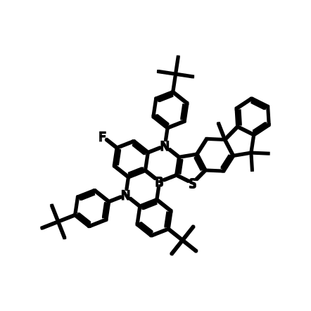 CC(C)(C)c1ccc(N2c3ccc(C(C)(C)C)cc3B3c4sc5c(c4N(c4ccc(C(C)(C)C)cc4)c4cc(F)cc2c43)CC2(C)C(=C5)C(C)(C)c3ccccc32)cc1